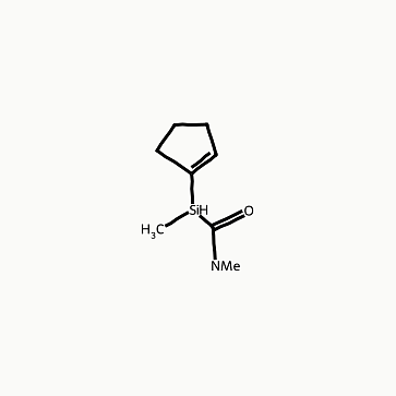 CNC(=O)[SiH](C)C1=CCCC1